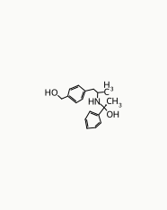 CC(Cc1ccc(CO)cc1)N[C@](C)(O)c1ccccc1